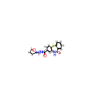 O=C(NCC1CCCO1)c1ccc2c(c1)NC(=O)c1ccccc1S2